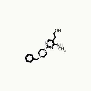 CNc1nc(N2CCN(Cc3ccccc3)CC2)ncc1CCO